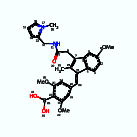 COc1ccc2c(c1)C(CC(=O)NCc1cccn1C)=C(C)C2=Cc1cc(OC)c(B(O)O)c(OC)c1